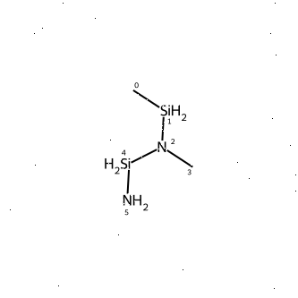 C[SiH2]N(C)[SiH2]N